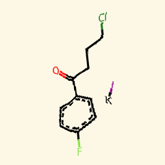 O=C(CCCCl)c1ccc(F)cc1.[K][I]